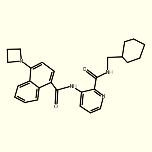 O=C(NCC1CCCCC1)c1ncccc1NC(=O)c1ccc(N2CCC2)c2ccccc12